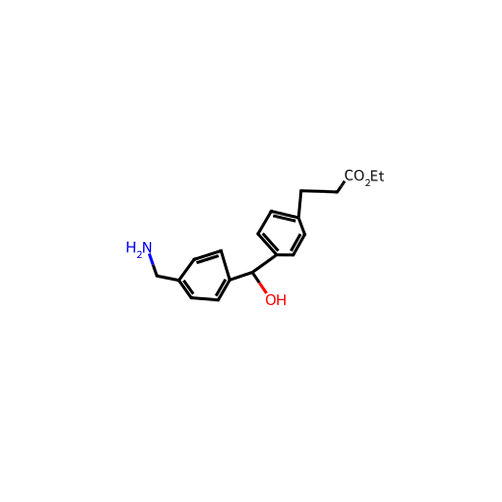 CCOC(=O)CCc1ccc(C(O)c2ccc(CN)cc2)cc1